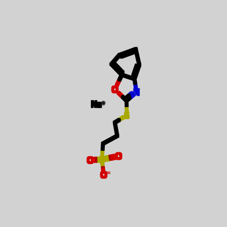 O=S(=O)([O-])CCCSc1nc2ccccc2o1.[Na+]